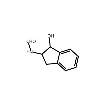 O=CNC1Cc2ccccc2C1O